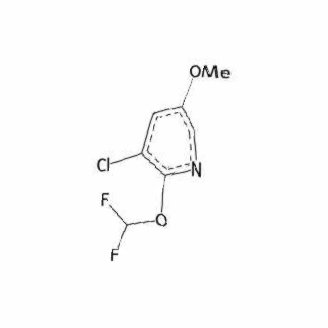 COc1cnc(OC(F)F)c(Cl)c1